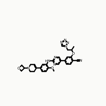 COc1ccc(C2=CCN(C3COC3)CC2)cc1Nc1ncc(-c2ccc(C#N)c(OC(C)Cn3cnnn3)c2)cn1